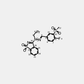 CC(C)CN(/N=C/c1ccc(F)c(S(C)(=O)=O)c1)C1=NS(=O)(=O)c2ccccc21